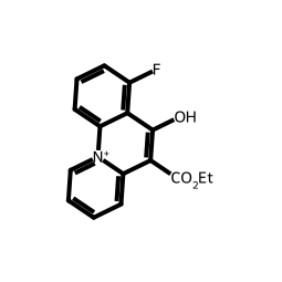 CCOC(=O)c1c(O)c2c(F)cccc2[n+]2ccccc12